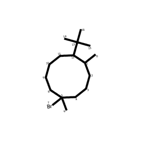 CC1CCCC(C)(Br)CCCCC1C(C)(C)C